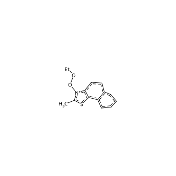 CCOO[n+]1c(C)sc2c3ccccc3ccc21